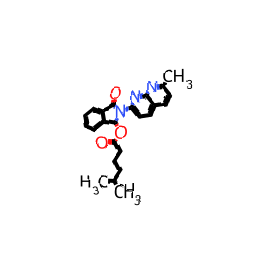 Cc1ccc2ccc(N3C(=O)c4ccccc4C3OC(=O)CCCC(C)C)nc2n1